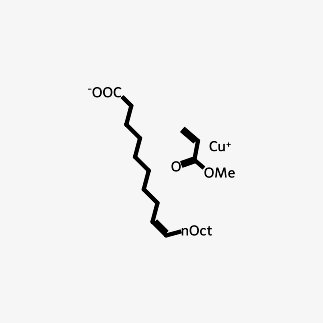 C=CC(=O)OC.CCCCCCCC/C=C\CCCCCCCC(=O)[O-].[Cu+]